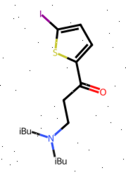 CCC(C)N(CCC(=O)c1ccc(I)s1)C(C)CC